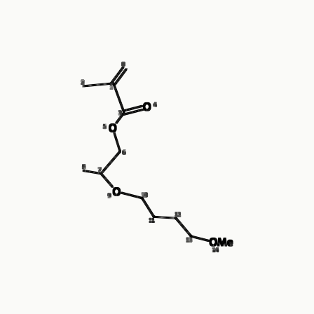 C=C(C)C(=O)OCC(C)OCCCCOC